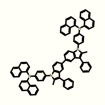 Cc1c(-c2ccccc2)c2cc(-c3ccc4c(c3)c(-c3ccccc3)c(C)n4-c3ccc(N(c4cccc5ccccc45)c4cccc5ccccc45)cc3)ccc2n1-c1ccc(N(c2cccc3ccccc23)c2cccc3ccccc23)cc1